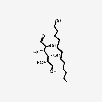 CCCCCCCCCCCCO.O=C[C@@H](O)[C@@H](O)[C@H](O)[C@H](O)CO